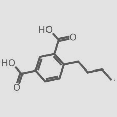 [CH2]CCCc1ccc(C(=O)O)cc1C(=O)O